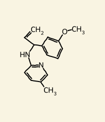 C=CC(Nc1ccc(C)cn1)c1cccc(OC)c1